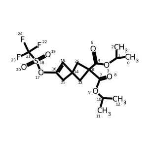 CC(C)OC(=O)C1(C(=O)OC(C)C)CC2(C=C(OS(=O)(=O)C(F)(F)F)C2)C1